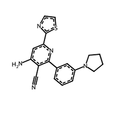 N#Cc1c(N)cc(-c2nccs2)nc1-c1cccc(N2CCCC2)c1